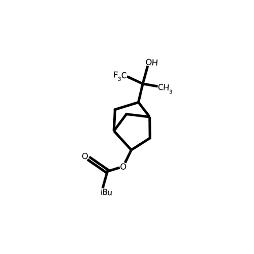 CCC(C)C(=O)OC1CC2CC1CC2C(C)(O)C(F)(F)F